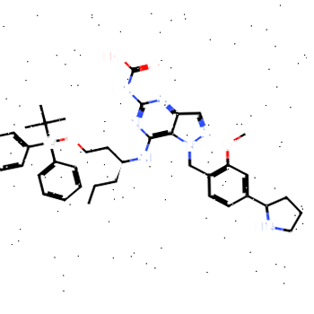 CCC[C@@H](CCO[Si](c1ccccc1)(c1ccccc1)C(C)(C)C)Nc1nc(NC(=O)O)nc2cnn(Cc3ccc(C4CCCN4)cc3OC)c12